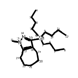 CCC[CH2][Sn]([CH2]CCC)([CH2]CCC)[c]1nn(C)c2c1CCCCC2